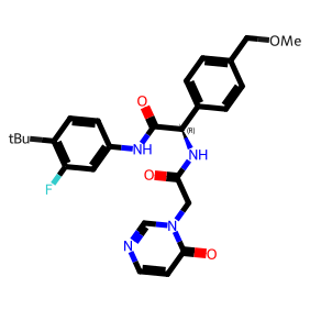 COCc1ccc([C@@H](NC(=O)Cn2cnccc2=O)C(=O)Nc2ccc(C(C)(C)C)c(F)c2)cc1